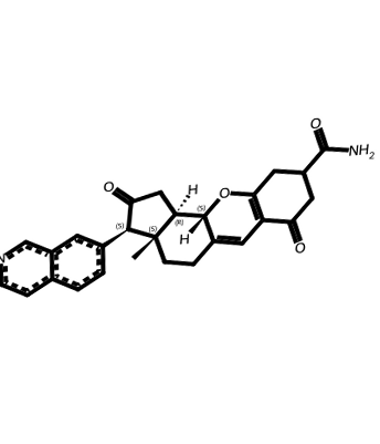 C[C@]12CCC3=CC4=C(CC(C(N)=O)CC4=O)O[C@H]3[C@@H]1CC(=O)[C@@H]2c1ccc2ccncc2c1